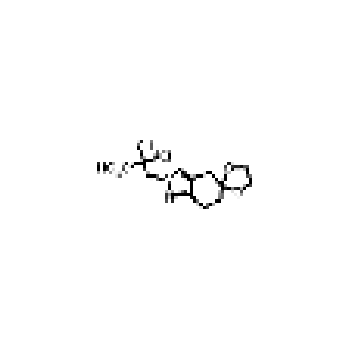 CC(C)(Cn1cc2c(n1)CCC1(C2)OCCO1)C(=O)O